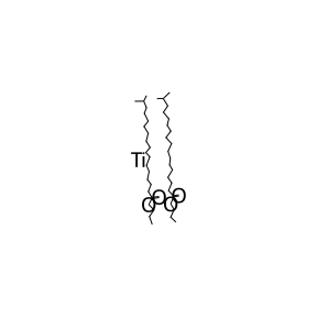 CCCOC(=O)CCCCCCCCCCCCCCC(C)C.CCCOC(=O)CCCCCCCCCCCCCCC(C)C.[Ti]